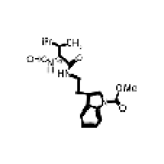 COC(=O)n1cc(CCNC(=O)[C@H](NC=O)C(C)C(C)C)c2ccccc21